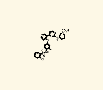 O=C(O)N1CCC[C@H](Nc2nccc(-c3cnccc3Oc3ccc(NS(=O)(=O)c4ccccc4Cl)c(F)c3)n2)C1